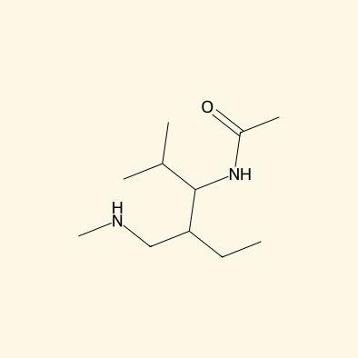 CCC(CNC)C(NC(C)=O)C(C)C